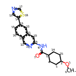 COC1CCC(C(=O)Nc2cc3cc(-c4cncs4)ccc3cn2)CC1